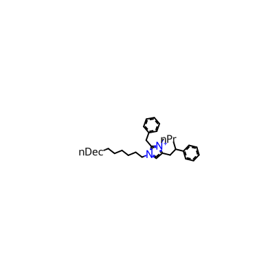 CCCCCCCCCCCCCCCCn1cc(CC(C)c2ccccc2)[n+](CCC)c1Cc1ccccc1